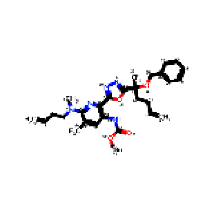 C=CCCN(C)c1nc(-c2nnc(C(CCC=C)(OCc3ccccc3)C(F)(F)F)o2)c(NC(=O)OC(C)(C)C)cc1C(F)(F)F